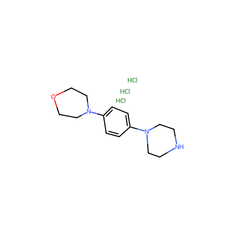 Cl.Cl.Cl.c1cc(N2CCOCC2)ccc1N1CCNCC1